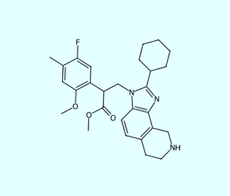 COC(=O)C(Cn1c(C2CCCCC2)nc2c3c(ccc21)CCNC3)c1cc(F)c(C)cc1OC